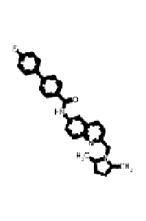 CC1CCC(C)N1Cc1ccc2cc(NC(=O)c3ccc(-c4ccc(F)cc4)cc3)ccc2n1